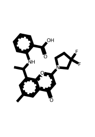 Cc1cc(C(C)Nc2ccccc2C(=O)O)c2oc(N3CCC(F)(F)C3)cc(=O)c2c1